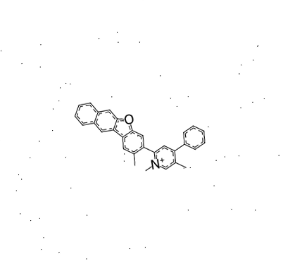 Cc1c[n+](C)c(-c2cc3oc4cc5ccccc5cc4c3cc2C)cc1-c1ccccc1